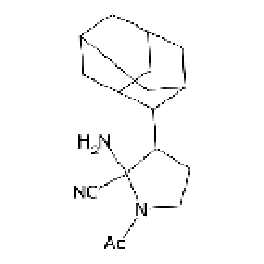 CC(=O)N1CCC(C2C3CC4CC(C3)CC2C4)C1(N)C#N